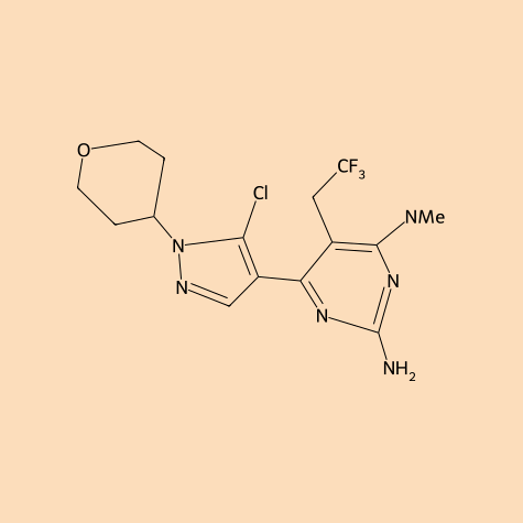 CNc1nc(N)nc(-c2cnn(C3CCOCC3)c2Cl)c1CC(F)(F)F